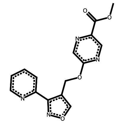 COC(=O)c1cnc(OCc2conc2-c2ccccn2)cn1